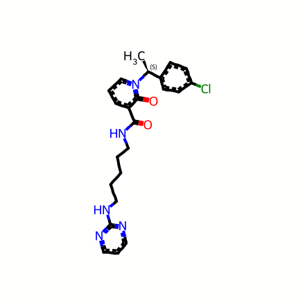 C[C@@H](c1ccc(Cl)cc1)n1cccc(C(=O)NCCCCCNc2ncccn2)c1=O